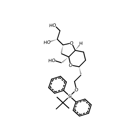 CC(C)(C)[Si](OCC[C@H]1CC[C@@H]2O[C@@H]([C@H](O)CO)C[C@]2(CO)O1)(c1ccccc1)c1ccccc1